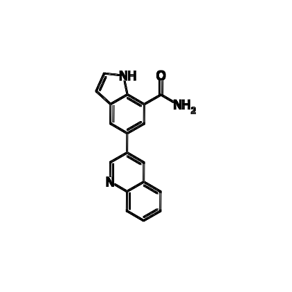 NC(=O)c1cc(-c2cnc3ccccc3c2)cc2cc[nH]c12